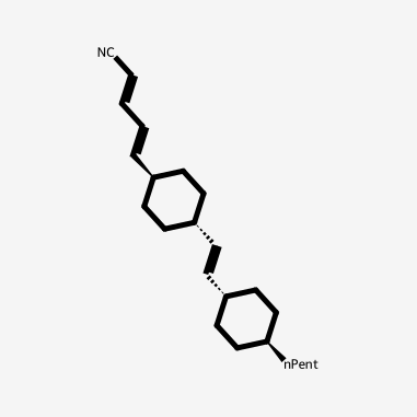 CCCCC[C@H]1CC[C@H](C=C[C@H]2CC[C@H](C=CC=CC#N)CC2)CC1